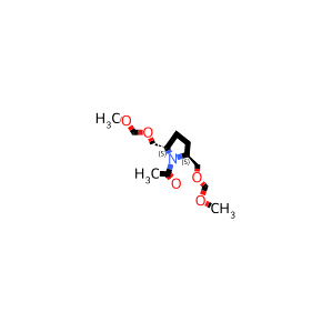 COCOC[C@@H]1CC[C@@H](COCOC)N1C(C)=O